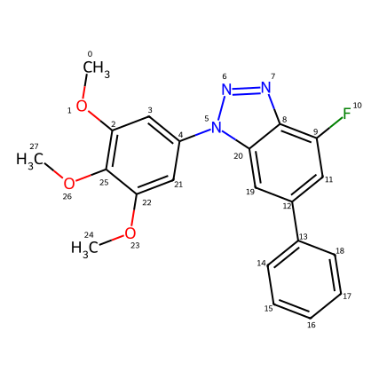 COc1cc(-n2nnc3c(F)cc(-c4ccccc4)cc32)cc(OC)c1OC